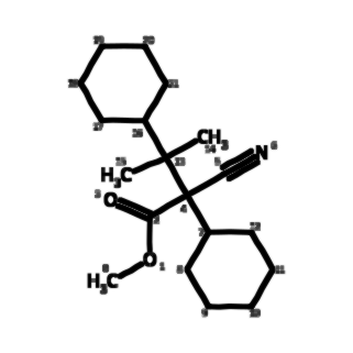 COC(=O)C(C#N)(C1CCCCC1)C(C)(C)C1CCCCC1